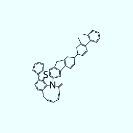 C=C1/C=C\C=C/Cc2ccc3c(sc4ccccc43)c2N1c1ccc2c(c1)C1=C(C2)CC(C2C=CC(c3ccccc3C)=C(C)C2)C=C1